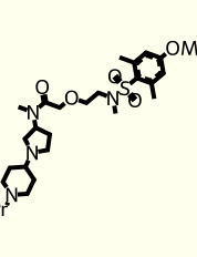 COc1cc(C)c(S(=O)(=O)N(C)CCOCC(=O)N(C)C2CCN(C3CCN(C(C)C)CC3)C2)c(C)c1